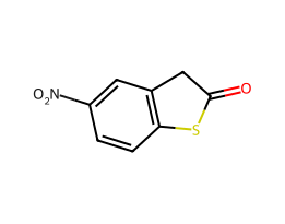 O=C1Cc2cc([N+](=O)[O-])ccc2S1